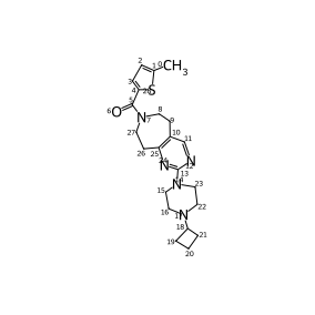 Cc1ccc(C(=O)N2CCc3cnc(N4CCN(C5CCC5)CC4)nc3CC2)s1